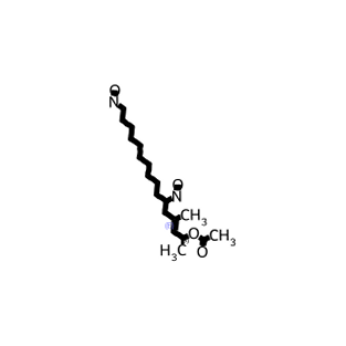 CC(=O)O[C@@H](C)/C=C(\C)CC(CCCCCCCCCCN=O)N=O